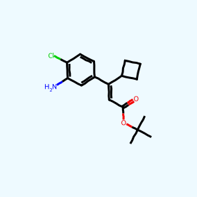 CC(C)(C)OC(=O)/C=C(/c1ccc(Cl)c(N)c1)C1CCC1